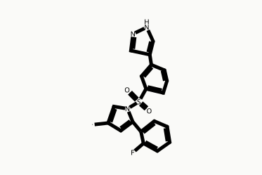 [CH2]c1cc(-c2ccccc2F)n(S(=O)(=O)c2cccc(-c3cn[nH]c3)c2)c1